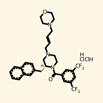 Cl.Cl.O=C(c1cc(C(F)(F)F)cc(C(F)(F)F)c1)N1CCN(CC=CCN2CCOCC2)C[C@H]1Cc1ccc2ccccc2c1